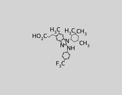 Cc1cc2c(cc1CCC(=O)O)nc(Nc1ccc(C(F)(F)F)cc1)n2[C@H]1C[C@@H](C)CC(C)(C)C1